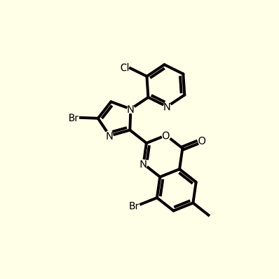 Cc1cc(Br)c2nc(-c3nc(Br)cn3-c3ncccc3Cl)oc(=O)c2c1